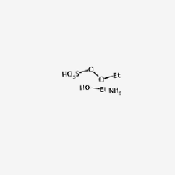 CCO.CCOOS(=O)(=O)O.N